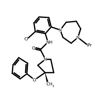 CC(C)N1CCCN(c2cccc(Cl)c2NC(=O)N2CC[C@](C)(Oc3ccccc3)C2)CC1